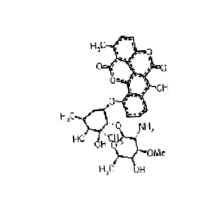 CO[C@H]1[C@@H](O)[C@@H](C)OC(O[C@H]2[C@H](Oc3cccc4c(O)c5c(=O)oc6ccc(C)c7c(=O)oc(c34)c5c67)C[C@H](C)[C@H](O)[C@]2(C)O)[C@@H]1N